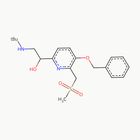 CC(C)(C)NCC(O)c1ccc(OCc2ccccc2)c(CS(C)(=O)=O)n1